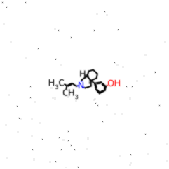 CC(C)=CCN1CC[C@@]2(c3cccc(O)c3)CCCC[C@H]2C1